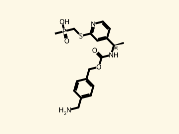 C[C@@H](NC(=O)OCc1ccc(CN)cc1)c1ccnc(SCP(C)(=O)O)c1